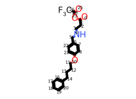 O=C(CCNCc1ccc(OCCCCc2ccccc2)cc1)OC(=O)C(F)(F)F